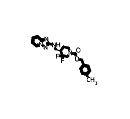 Cc1ccc(COC(=O)N2CC[C@H](CNc3nc4ccccn4n3)C(F)(F)C2)cc1